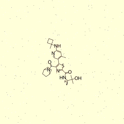 Cc1cc(NC2(C)CCC2)ncc1-c1sc(C(=O)N[C@H](C)C(C)(C)O)nc1C(=O)N1C2CCC1CC2